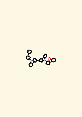 C1=CC(c2ccccc2)CC(n2c3ccccc3c3cc(-c4ccc5c(c4)c4c(n5-c5cccc6c7c(oc56)C=CCC7)CCC=C4)ccc32)=C1